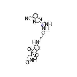 N#Cc1cccc2nc(/C(C=N)=C/N[C@H]3C[C@H](CCCNc4ccc5c(c4)C(=O)N(C4CCC(=O)NC4=O)C5=O)C3)cnc12